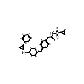 O=C(Cc1ccc(CN2CCC(N[C@@H]3C[C@H]3c3ccccc3)CC2)cc1)NS(=O)(=O)C1CC1